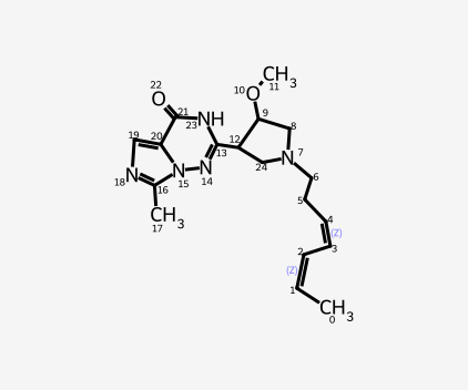 C/C=C\C=C/CCN1CC(OC)C(c2nn3c(C)ncc3c(=O)[nH]2)C1